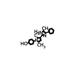 Cc1[nH]c(-c2cc(C)n(-c3ccc(O)cc3)c2C)nc1-c1ccccc1